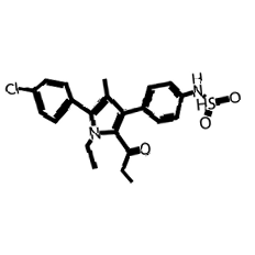 CCC(=O)c1c(-c2ccc(N[SH](=O)=O)cc2)c(C)c(-c2ccc(Cl)cc2)n1CC